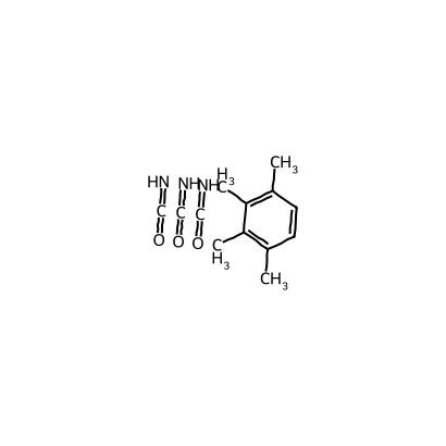 Cc1ccc(C)c(C)c1C.N=C=O.N=C=O.N=C=O